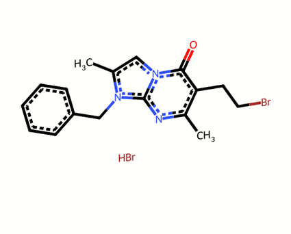 Br.Cc1nc2n(Cc3ccccc3)c(C)cn2c(=O)c1CCBr